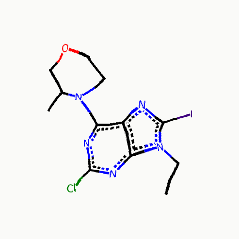 CCn1c(I)nc2c(N3CCOCC3C)nc(Cl)nc21